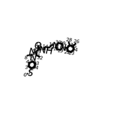 CSc1ccc(-n2c(C)nc(C(=O)NCCCN3CCN(c4cccc(C)c4C)CC3)c2C)cc1